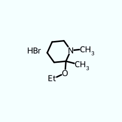 Br.CCOC1(C)CCCCN1C